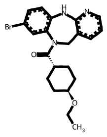 CCO[C@H]1CC[C@H](C(=O)N2Cc3cccnc3Nc3ccc(Br)cc32)CC1